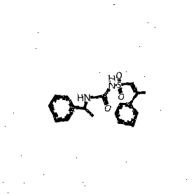 CC(=CS(=O)(=O)NC(=O)NC(C)c1ccccc1)c1ccccc1